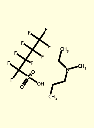 CCCN(C)CC.O=S(=O)(O)C(F)(F)C(F)(F)C(F)(F)C(F)(F)F